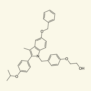 Cc1c(-c2ccc(OC(C)C)cc2)n(Cc2ccc(OCCO)cc2)c2ccc(OCc3ccccc3)cc12